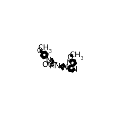 COc1ccc(N2C[C@@H](CNC3CN(c4ccnc5ccc(OC)nc45)C3)OC2=O)cc1